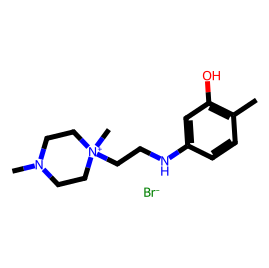 Cc1ccc(NCC[N+]2(C)CCN(C)CC2)cc1O.[Br-]